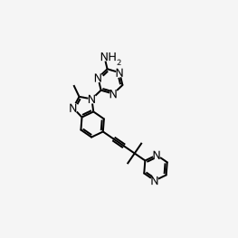 Cc1nc2ccc(C#CC(C)(C)c3cnccn3)cc2n1-c1ncnc(N)n1